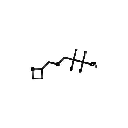 FC(F)(F)C(F)(F)C(F)(F)COCC1CCO1